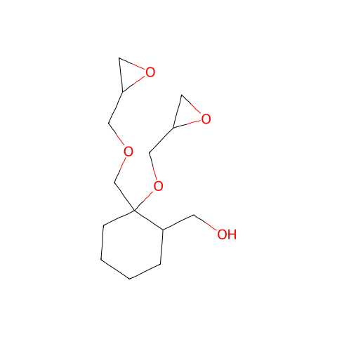 OCC1CCCCC1(COCC1CO1)OCC1CO1